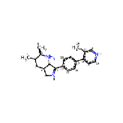 C=C(N)C(C)CC1CN=C(c2ccc(-c3ccncc3C)cc2)C1